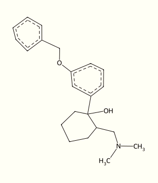 CN(C)CC1CCCCC1(O)c1cccc(OCc2ccccc2)c1